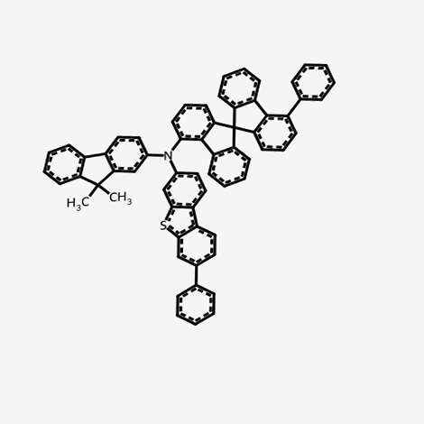 CC1(C)c2ccccc2-c2ccc(N(c3ccc4c(c3)sc3cc(-c5ccccc5)ccc34)c3cccc4c3-c3ccccc3C43c4ccccc4-c4c(-c5ccccc5)cccc43)cc21